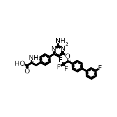 Nc1nc(O[C@H](c2ccc(-c3cccc(F)c3)cc2)C(F)(F)F)cc(-c2ccc(C[C@H](N)C(=O)O)cc2)n1